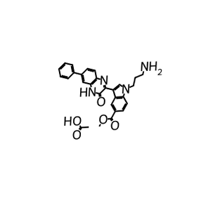 CC(=O)O.COC(=O)c1ccc2c(c1)c(-c1nc3ccc(-c4ccccc4)cc3[nH]c1=O)cn2CCCN